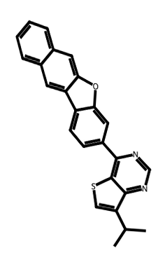 CC(C)c1csc2c(-c3ccc4c(c3)oc3cc5ccccc5cc34)ncnc12